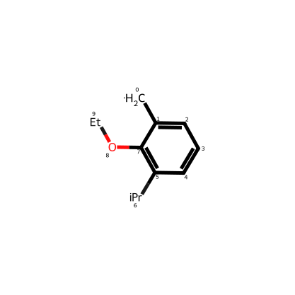 [CH2]c1cccc(C(C)C)c1OCC